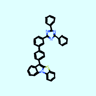 c1ccc(-c2nc(-c3ccccc3)nc(-c3cccc(-c4ccc(-c5c6ccccc6n6c5sc5ccccc56)cc4)c3)n2)cc1